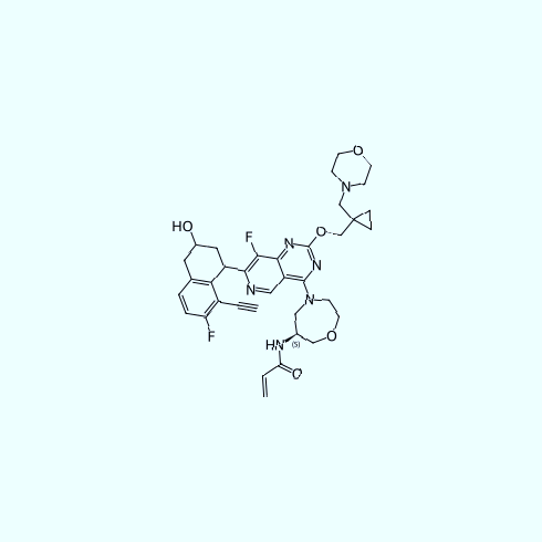 C#Cc1c(F)ccc2c1C(c1ncc3c(N4CCOC[C@@H](NC(=O)C=C)C4)nc(OCC4(CN5CCOCC5)CC4)nc3c1F)CC(O)C2